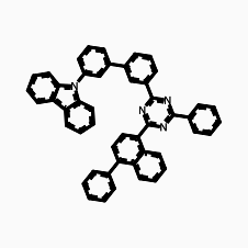 c1ccc(-c2nc(-c3cccc(-c4cccc(-n5c6ccccc6c6ccccc65)c4)c3)nc(-c3ccc(-c4ccccc4)c4ccccc34)n2)cc1